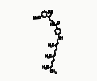 COc1ccc2[nH]cc(CCNC(=O)c3ccc(NC/C=C(\C)CC/C=C(\C)CCC=C(C)C)cc3)c2c1